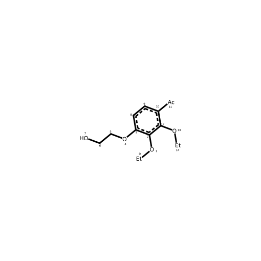 CCOc1c(OCCO)ccc(C(C)=O)c1OCC